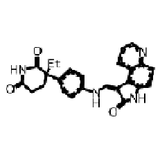 CCC1(c2ccc(N/C=C3\C(=O)Nc4ccc5ncccc5c43)cc2)CCC(=O)NC1=O